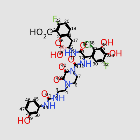 O=C(NCCN1CCN(C(=O)NC(C(=O)N[C@H]2Cc3ccc(F)c(C(=O)O)c3OB2O)c2cc(F)c(O)c(O)c2Cl)C(=O)C1=O)Nc1cccc(O)c1